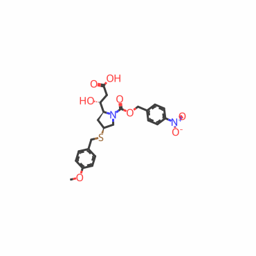 COc1ccc(CS[C@H]2C[C@@H]([C@H](O)CC(=O)O)N(C(=O)OCc3ccc([N+](=O)[O-])cc3)C2)cc1